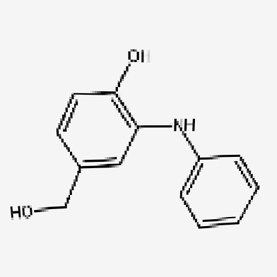 OCc1ccc(O)c(Nc2ccccc2)c1